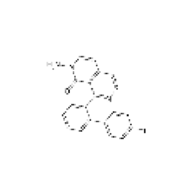 Nn1ccc2ccnc(-c3ccccc3-c3ccc(F)cc3)c2c1=O